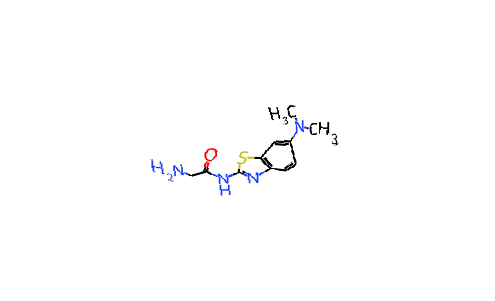 CN(C)c1ccc2nc(NC(=O)CN)sc2c1